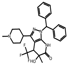 CN1CCC(c2nn(C(c3ccccc3)c3ccccc3)c3c2C(C(F)(F)F)C(C)(O)C(=O)N3)CC1